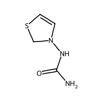 NC(=O)NN1C=CSC1